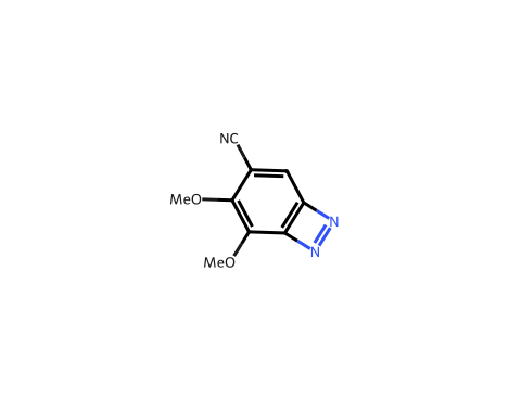 COc1c(C#N)cc2c(c1OC)N=N2